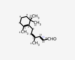 CC(=CCC1=C(C)CCCC1(C)C)/C=C/C=O